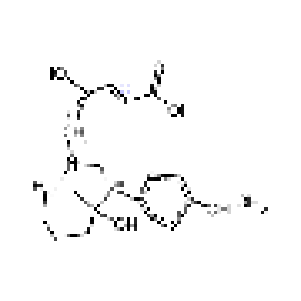 CN(C)C[C@H](c1ccc(O)cc1)C1(O)CCCCC1.O.O=C(O)/C=C/C(=O)O